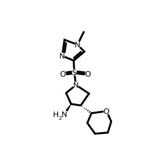 Cn1cnc(S(=O)(=O)N2C[C@H](C3CCCCO3)[C@@H](N)C2)c1